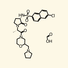 C[C@@H](C(=O)N1CCOC(CN2CCCC2)C1)N1CC[C@H](NS(=O)(=O)c2ccc3cc(Cl)ccc3c2)C1=O.O=CO